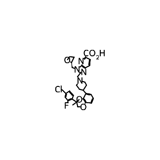 CC1(c2ccc(Cl)cc2F)COc2cccc(C3CCN(Cc4nc5ccc(C(=O)O)nc5n4C[C@@H]4CCO4)CC3)c2O1